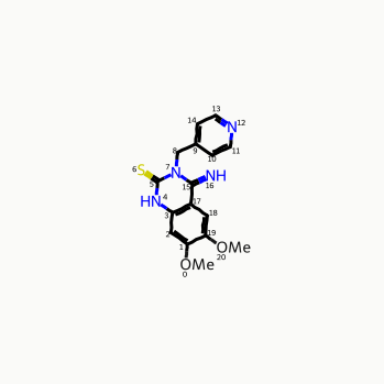 COc1cc2[nH]c(=S)n(Cc3ccncc3)c(=N)c2cc1OC